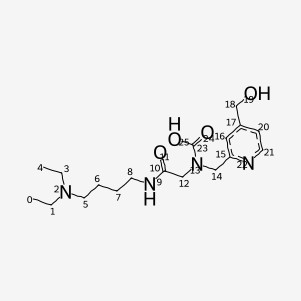 CCN(CC)CCCCNC(=O)CN(Cc1cc(CO)ccn1)C(=O)O